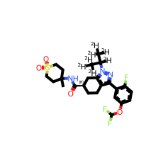 [2H]C([2H])([2H])C([2H])(n1nc(-c2cc(OC(F)F)ccc2F)c2c1C[C@H](C(=O)NC1(C)CCS(=O)(=O)CC1)CC2)C([2H])([2H])[2H]